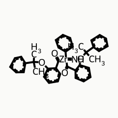 CC(C)(Oc1ccccc1[C](=O)[Zr](=[NH])([C](=O)c1ccccc1OC(C)(C)c1ccccc1)[c]1ccccc1)c1ccccc1